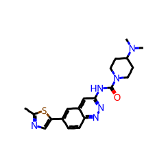 Cc1ncc(-c2ccc3nnc(NC(=O)N4CCC(N(C)C)CC4)cc3c2)s1